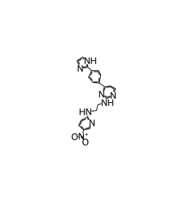 O=[N+]([O-])c1ccc(NCCNc2nccc(-c3ccc(-c4ncc[nH]4)cc3)n2)nc1